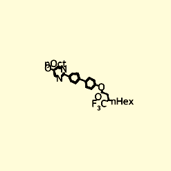 CCCCCCCCOc1cnc(-c2ccc(-c3ccc(OC(=O)CC(CCCCCC)C(F)(F)F)cc3)cc2)nc1